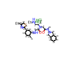 CCNCCN(CC(=O)N(C)N1Cc2ccccc2C1)C(=O)CNc1cc(-c2nc(CC)cs2)ccc1C.Cl.Cl